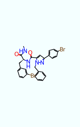 CNC(=O)[C@H](Cc1cccc(Br)c1)NC(=O)c1cc(-c2ccc(Br)cc2)nn1Cc1ccccc1